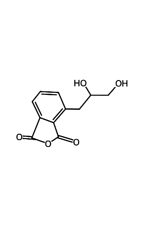 O=C1OC(=O)c2c(CC(O)CO)cccc21